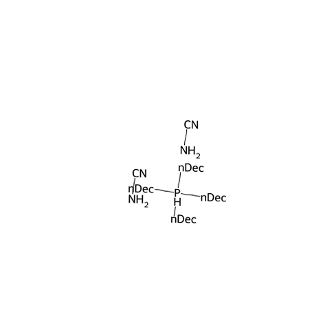 CCCCCCCCCC[PH](CCCCCCCCCC)(CCCCCCCCCC)CCCCCCCCCC.N#CN.N#CN